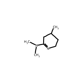 CC1CCN=C(N(C)C)C1